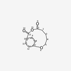 O=C1CCCCOc2ccc(cc2)C(=O)O1